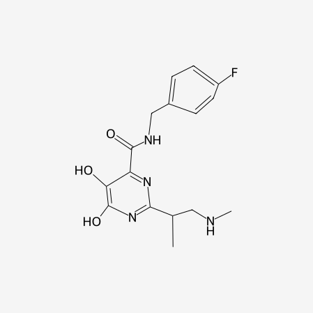 CNCC(C)c1nc(O)c(O)c(C(=O)NCc2ccc(F)cc2)n1